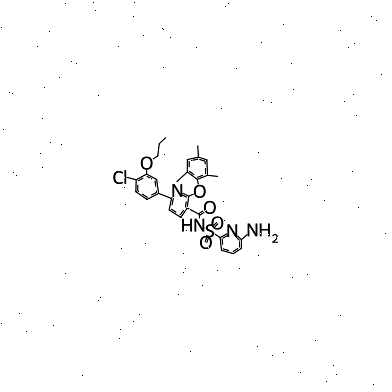 CCCOc1cc(-c2ccc(C(=O)NS(=O)(=O)c3cccc(N)n3)c(Oc3c(C)cc(C)cc3C)n2)ccc1Cl